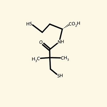 CC(C)(CS)C(=O)N[C@H](CCS)C(=O)O